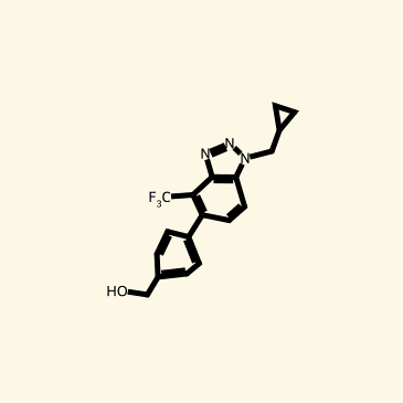 OCc1ccc(-c2ccc3c(nnn3CC3CC3)c2C(F)(F)F)cc1